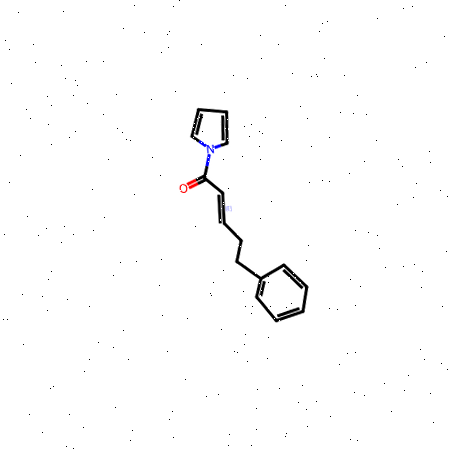 O=C(/C=C/CCc1ccccc1)n1cccc1